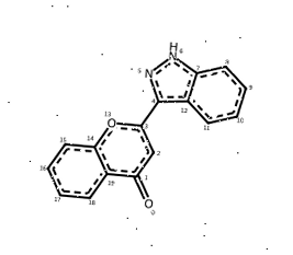 O=c1cc(-c2n[nH]c3ccccc23)oc2ccccc12